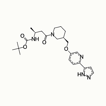 C[C@@H](CC(=O)N1CCC[C@@H](COc2ccc(-c3ccn[nH]3)nc2)C1)NC(=O)OC(C)(C)C